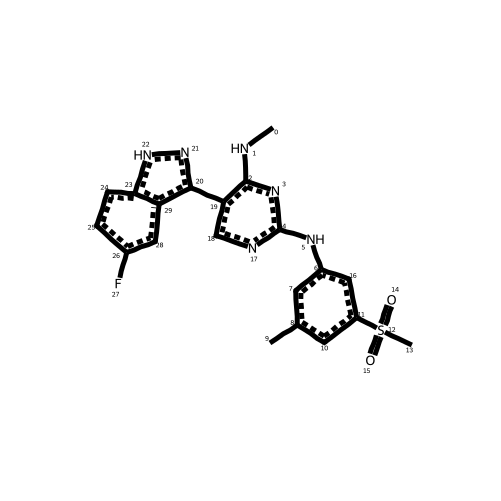 CNc1nc(Nc2cc(C)cc(S(C)(=O)=O)c2)ncc1-c1n[nH]c2ccc(F)cc12